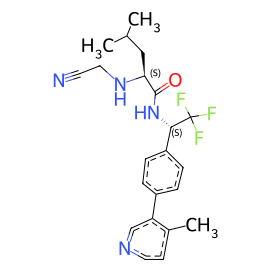 Cc1ccncc1-c1ccc([C@H](NC(=O)[C@H](CC(C)C)NCC#N)C(F)(F)F)cc1